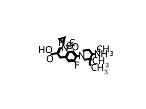 CCC1(C)CN(c2c(F)cc3c(c2OC)[N+]([O-])(C2CC2)C=C(C(=O)O)C3)CCC1NC